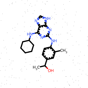 Cc1cc(C(C)O)ccc1Nc1nc(NC2CCCCC2)c2nc[nH]c2n1